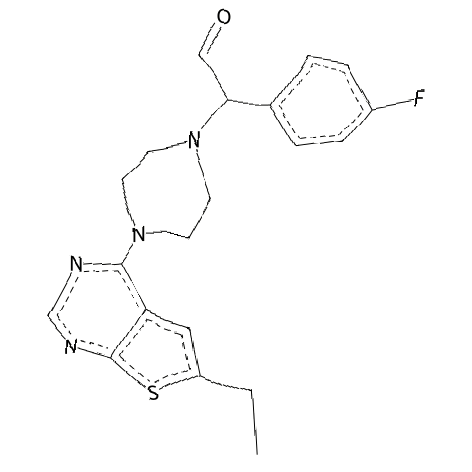 CCc1cc2c(N3CCN(C(C=O)c4ccc(F)cc4)CC3)ncnc2s1